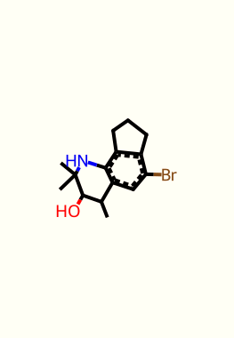 CC1c2cc(Br)c3c(c2NC(C)(C)C1O)CCC3